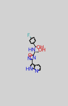 OC[C@H](NC(O)c1ccc(F)cc1)c1nc(-c2c[nH]c3ncccc23)no1